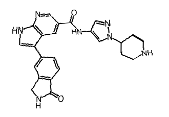 O=C(Nc1cnn(C2CCNCC2)c1)c1cnc2[nH]cc(-c3ccc4c(c3)CNC4=O)c2c1